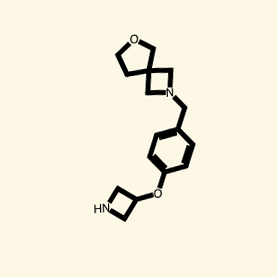 c1cc(OC2CNC2)ccc1CN1CC2(CCOC2)C1